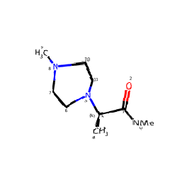 CNC(=O)[C@@H](C)N1CCN(C)CC1